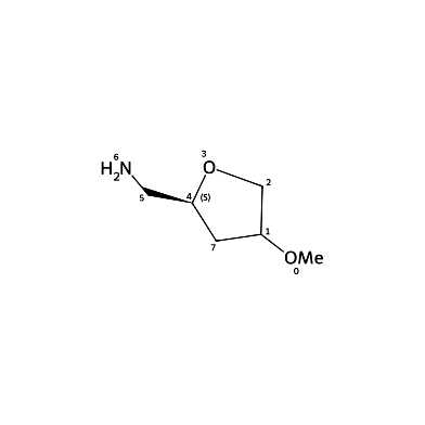 COC1CO[C@H](CN)C1